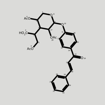 CC(=O)OCC(C(=O)O)C1C(OC(C)=O)COC(Oc2ccc(C(=O)C=Cc3ccccc3)cc2)C1OC(C)=O